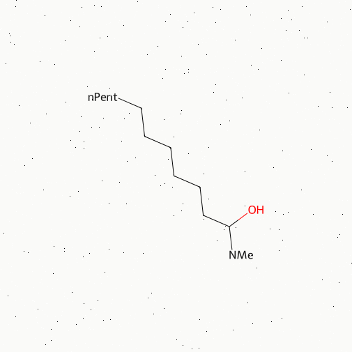 CCCCCCCCCCCC(O)NC